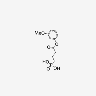 COc1cccc(OC(=O)CCCP(=O)(O)O)c1